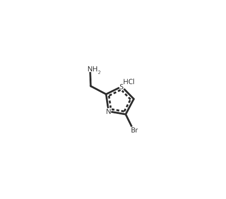 Cl.NCc1nc(Br)cs1